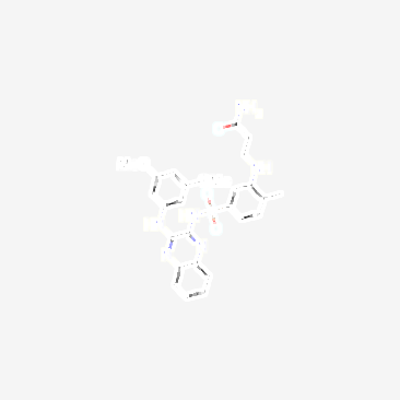 COc1cc(Nc2nc3ccccc3nc2NS(=O)(=O)c2ccc(C)c(NCCC(N)=O)c2)cc(OC)c1